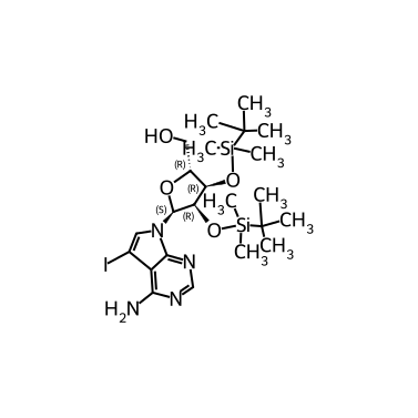 CC(C)(C)[Si](C)(C)O[C@@H]1[C@H](O[Si](C)(C)C(C)(C)C)[C@@H](CO)O[C@@H]1n1cc(I)c2c(N)ncnc21